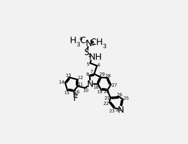 CN(C)SNCCc1cn(Cc2ccccc2F)c2cc(-c3ccncc3)ccc12